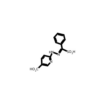 O=C(O)c1ccc(NN=C(c2ccccc2)S(=O)(=O)O)nc1